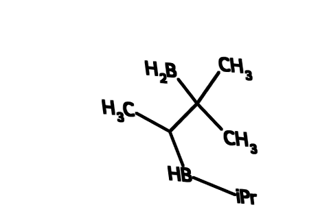 BC(C)(C)C(C)BC(C)C